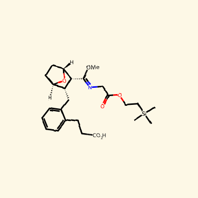 COC(=NCC(=O)OCC[Si](C)(C)C)[C@@H]1[C@H](Cc2ccccc2CCC(=O)O)[C@H]2CC[C@H]1O2